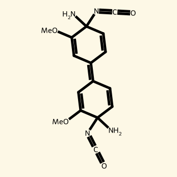 COC1=C/C(=C2/C=CC(N)(N=C=O)C(OC)=C2)C=CC1(N)N=C=O